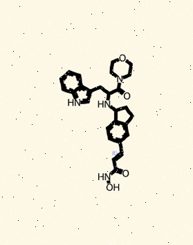 O=C(/C=C/c1ccc2c(c1)CCC2NC(Cc1c[nH]c2ccccc12)C(=O)N1CCOCC1)NO